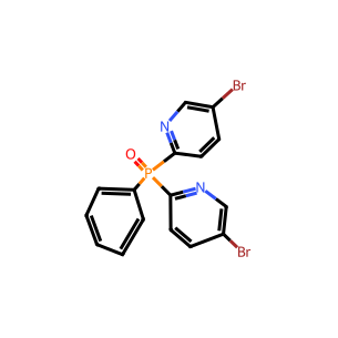 O=P(c1ccccc1)(c1ccc(Br)cn1)c1ccc(Br)cn1